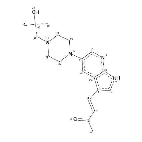 CC(=O)/C=C/c1c[nH]c2ncc(N3CCN(CC(C)(C)O)CC3)cc12